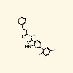 Cc1ccc(C)c(-c2ccc3c(NC(=O)CCc4ccccc4)n[nH]c3c2)c1